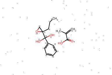 C=C(C)C(=O)O.CCCC1(C(O)(O)c2ccccc2)CO1